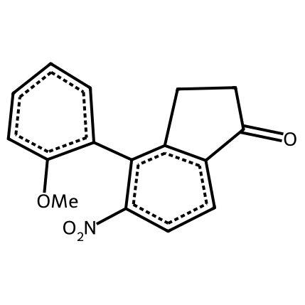 COc1ccccc1-c1c([N+](=O)[O-])ccc2c1CCC2=O